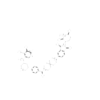 CN1C[C@H](Nc2cnn(C)c(=O)c2Cl)C[C@H](c2ccc(C(=O)N3CCC4(CC3)CCN(c3ccc5c(c3)C(=O)N(C3CCC(=O)NC3=O)C5=O)CC4)cc2)C1